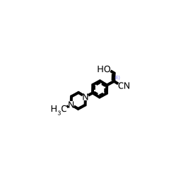 CN1CCN(c2ccc(/C(C#N)=C\O)cc2)CC1